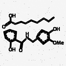 CCCCCCCCC(=O)O.COc1cc(CNC(=O)c2ccccc2O)ccc1O